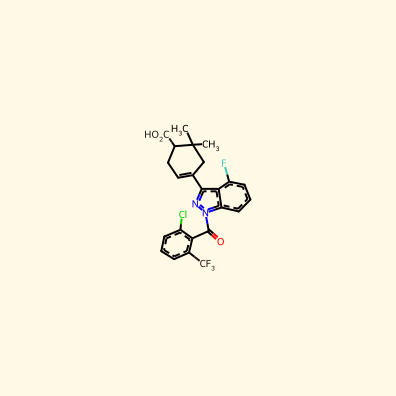 CC1(C)CC(c2nn(C(=O)c3c(Cl)cccc3C(F)(F)F)c3cccc(F)c23)=CCC1C(=O)O